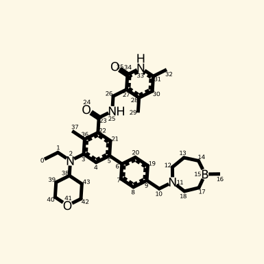 CCN(c1cc(-c2ccc(CN3CCCB(C)CC3)cc2)cc(C(=O)NCc2c(C)cc(C)[nH]c2=O)c1C)C1CCOCC1